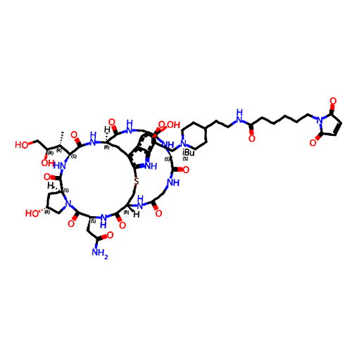 CC[C@H](C)[C@@H]1NC(=O)CNC(=O)[C@H]2Cc3c([nH]c4c(CN5CCC(CCNC(=O)CCCCCN6C(=O)C=CC6=O)CC5)c(O)ccc34)SC[C@H](NC(=O)CNC1=O)C(=O)N[C@@H](CC(N)=O)C(=O)N1C[C@H](O)C[C@H]1C(=O)N[C@@H]([C@@H](C)[C@@H](O)CO)C(=O)N2